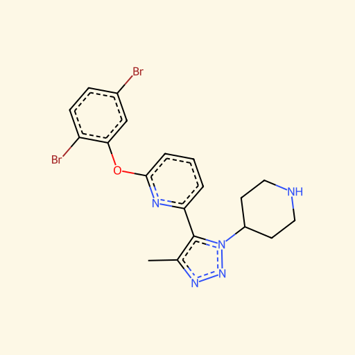 Cc1nnn(C2CCNCC2)c1-c1cccc(Oc2cc(Br)ccc2Br)n1